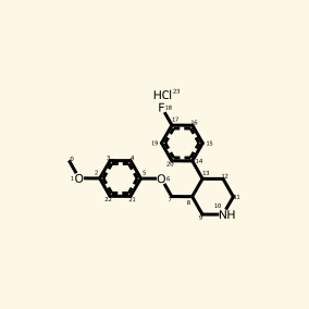 COc1ccc(OCC2CNCCC2c2ccc(F)cc2)cc1.Cl